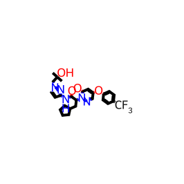 CC(C)(O)Cn1ccc(NC(=O)C(CC2CCCC2)n2ncc(Oc3ccc(C(F)(F)F)cc3)cc2=O)n1